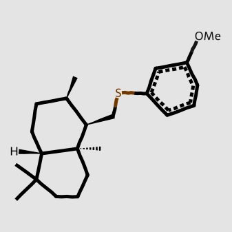 COc1cccc(SC[C@@H]2[C@H](C)CC[C@H]3C(C)(C)CCC[C@]23C)c1